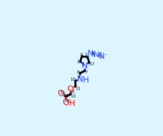 [N-]=[N+]=NC1CCN(CCNCCOCC(=O)O)C1